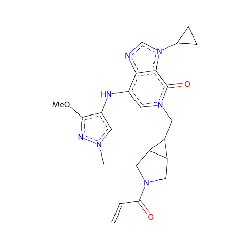 C=CC(=O)N1CC2C(C1)C2Cn1cc(Nc2cn(C)nc2OC)c2ncn(C3CC3)c2c1=O